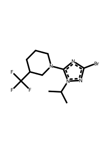 CC(C)n1nc(Br)nc1N1CCCC(C(F)(F)F)C1